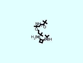 BB(C1CCC1B1BC1(C)C)C(C)(C)CCOC(C)(N)CCC(=O)C(C)(C)C